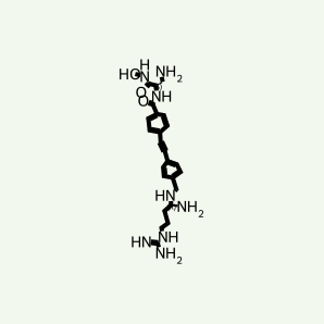 N=C(N)NCCC[C@H](N)NCc1ccc(C#Cc2ccc(C(=O)N[C@@H](CN)C(=O)NO)cc2)cc1